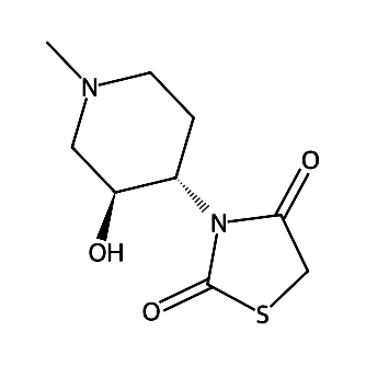 CN1CC[C@H](N2C(=O)CSC2=O)[C@@H](O)C1